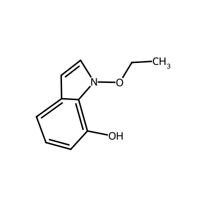 CCOn1ccc2cccc(O)c21